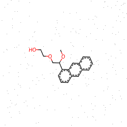 COC(COCCO)c1cccc2cc3ccccc3cc12